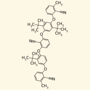 Cc1cccc(Oc2ccc(Oc3cccc(Oc4cc(C(C)(C)C)c(Oc5cccc(C)c5C#N)cc4C(C)(C)C)c3C#N)c(C(C)(C)C)c2)c1C#N